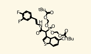 CC(C)(C)C(=O)OCOP(=O)(OCOC(=O)C(C)(C)C)C(C(=O)N/C=C/c1ccc(F)c(F)c1)C1=CSC2C=CC(Cl)=CC12